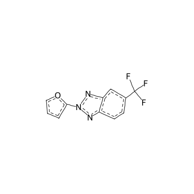 FC(F)(F)c1ccc2nn(-c3ccco3)nc2c1